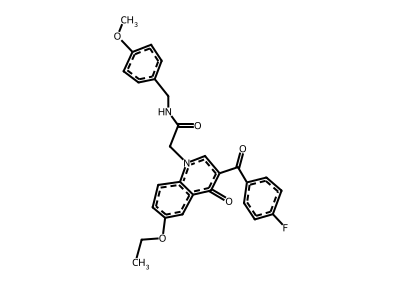 CCOc1ccc2c(c1)c(=O)c(C(=O)c1ccc(F)cc1)cn2CC(=O)NCc1ccc(OC)cc1